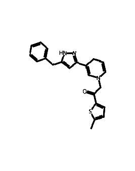 Cc1ccc(C(=O)CN2C=CCC(c3cc(Cc4ccccc4)[nH]n3)=C2)s1